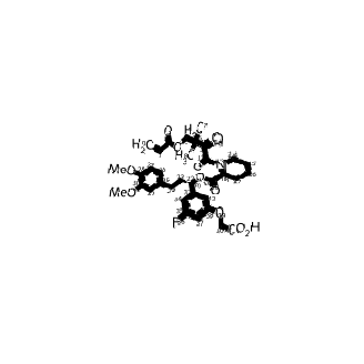 C=CC(=O)OCC(C)(C)C(=O)C(=O)N1CCCCC1C(=O)O[C@H](CCc1ccc(OC)c(OC)c1)c1cc(F)cc(OCC(=O)O)c1